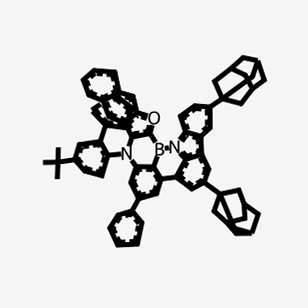 CC(C)(C)c1ccc(N2c3cc(-c4ccccc4)cc4c3B(c3oc5cc6ccccc6cc5c32)n2c3ccc(C56CC7CC(CC(C7)C5)C6)cc3c3cc(C56CC7CC(CC(C7)C5)C6)cc-4c32)c(-c2ccccc2)c1